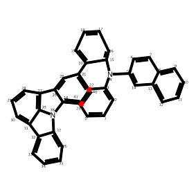 c1ccc(N(c2ccc3ccccc3c2)c2ccccc2-c2ccc3c(c2)c2cccc4c5ccccc5n3c42)cc1